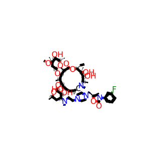 CC[C@H]1OC(=O)[C@H](C)[C@@H](O[C@H]2C[C@@](C)(OC)[C@@H](O)[C@H](C)O2)[C@H](C)[C@@H](O[C@@H]2O[C@H](C)C[C@H](N(C)CCN3CCN(C[C@H]4CN(c5cccc(F)c5)C(=O)O4)CC3)[C@H]2O)[C@](C)(O)C[C@@H](C)CN(C)[C@H](C)[C@@H](O)[C@]1(C)O